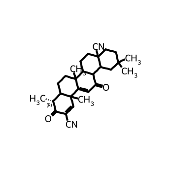 C[C@H]1C(=O)C(C#N)=CC2(C)C3=CC(=O)C4C5CC(C)(C)CCC5(C#N)CCC4C3(C)CCC12